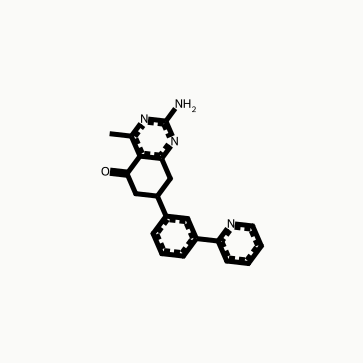 Cc1nc(N)nc2c1C(=O)CC(c1cccc(-c3ccccn3)c1)C2